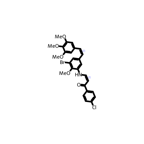 COc1cc(/C=C\c2cc(Br)c(OC)c(N/C=C\C(=O)c3ccc(Cl)cc3)c2)cc(OC)c1OC